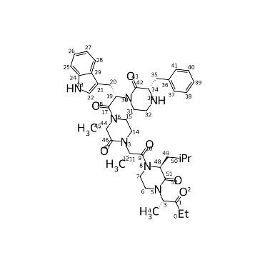 CCC(=O)[C@H](C)N1CCN(C(=O)[C@H](C)N2CCN(C(=O)[C@H](Cc3c[nH]c4ccccc34)N3CCN[C@@H](Cc4ccccc4)C3=O)[C@@H](C)C2=O)[C@@H](CC(C)C)C1=O